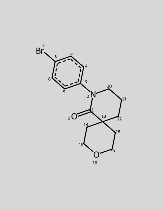 O=C1N(c2ccc(Br)cc2)CCCC12CCOCC2